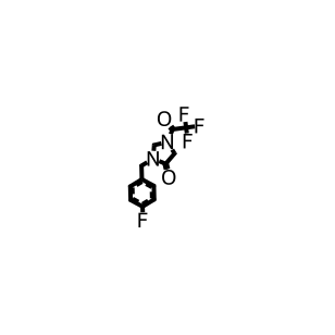 O=C1CN(C(=O)C(F)(F)F)CN1Cc1ccc(F)cc1